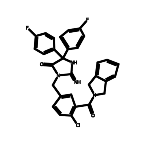 N=C1NC(c2ccc(F)cc2)(c2ccc(F)cc2)C(=O)N1Cc1ccc(Cl)c(C(=O)N2Cc3ccccc3C2)c1